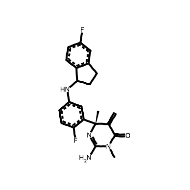 C=C1C(=O)N(C)C(N)=N[C@]1(C)c1cc(NC2CCc3cc(F)ccc32)ccc1F